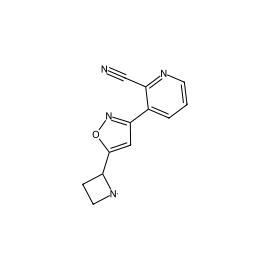 N#Cc1ncccc1-c1cc(C2CC[N]2)on1